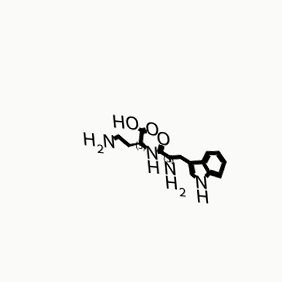 NCC[C@H](NC(=O)[C@@H](N)Cc1c[nH]c2ccccc12)C(=O)O